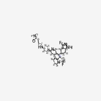 CN(C)C(=O)C=CCNC1CCN(c2ccc(/C(=C(/CC(F)(F)F)c3ccccc3)c3ccc4[nH]nc(F)c4c3)cn2)CC1